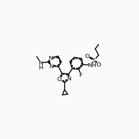 CCCS(=O)(=O)Nc1cccc(-c2nc(C3CC3)oc2-c2ccnc(NC)n2)c1F